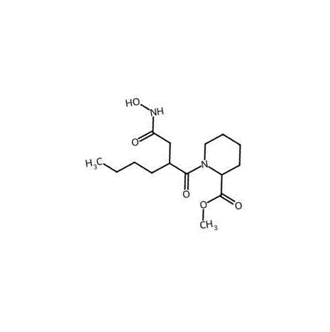 CCCCC(CC(=O)NO)C(=O)N1CCCCC1C(=O)OC